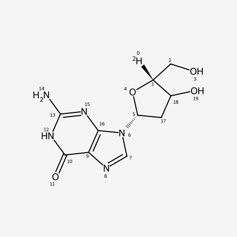 [2H][C@]1(CO)O[C@@H](n2cnc3c(=O)[nH]c(N)nc32)CC1O